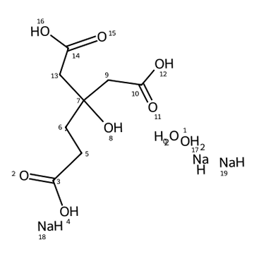 O.O.O=C(O)C[CH]C(O)(CC(=O)O)CC(=O)O.[NaH].[NaH].[NaH]